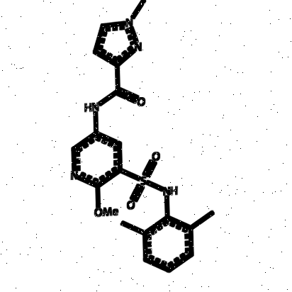 COc1ncc(NC(=O)c2ccn(C)n2)cc1S(=O)(=O)Nc1c(C)cccc1C